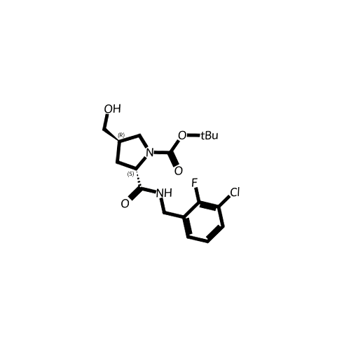 CC(C)(C)OC(=O)N1C[C@H](CO)C[C@H]1C(=O)NCc1cccc(Cl)c1F